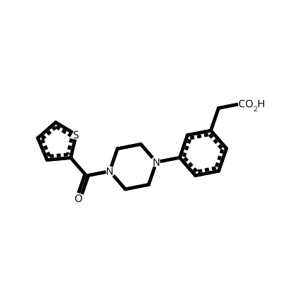 O=C(O)Cc1cccc(N2CCN(C(=O)c3cccs3)CC2)c1